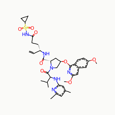 C=C[C@H](CCC(=O)NS(=O)(=O)C1CC1)NC(=O)[C@@H]1C[C@@H](Oc2nc(OC)cc3cc(OC)ccc23)CN1C(=O)C(Nc1cc(C)cc(C)n1)C(C)C